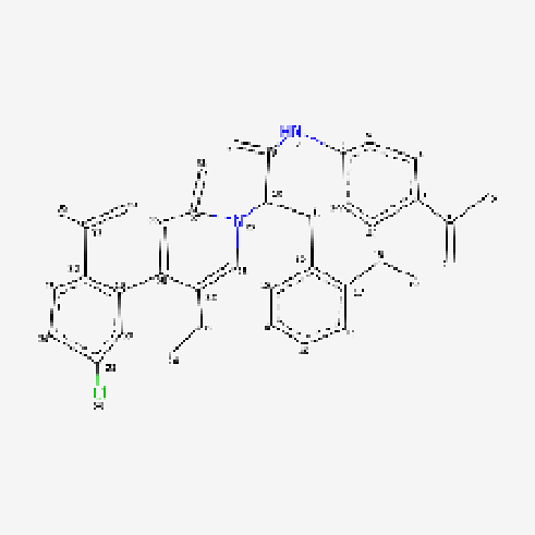 C=C(C)c1ccc(NC(=C)C(Cc2ccccc2CC)N2C=C(CC)C(c3cc(Cl)ccc3C(=C)C)=CC2=C)cc1